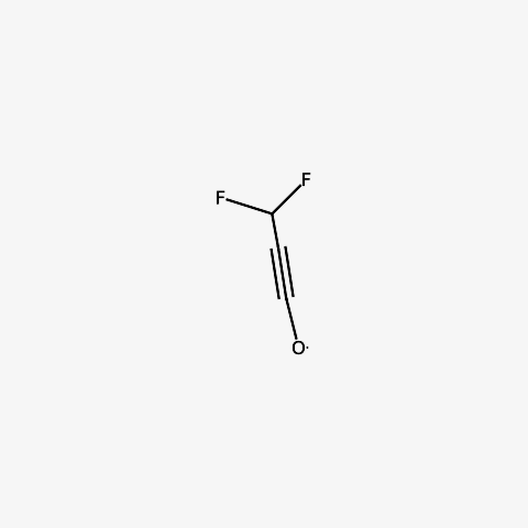 [O]C#CC(F)F